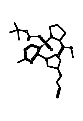 COC(=O)[C@@H]1CCCN1[S@@](=O)(=NC(=O)OC(C)(C)C)c1ccc(C)nc1N1CC[C@@H](CCC=O)C1